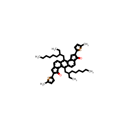 CCCCCCC(CC)Cc1c2ccc3cc(-c4ccc(C)s4)c(=O)c3c2c(CC(CC)CCCCCC)c2ccc3c(=O)c(-c4ccc(C)s4)cc3c12